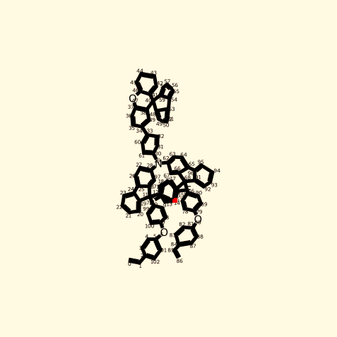 C=Cc1ccc(Oc2ccc(C3(c4ccc(F)cc4)c4ccccc4-c4ccc(N(c5ccc(-c6ccc7c(c6)C6(c8ccccc8O7)c7ccccc7-c7ccccc76)cc5)c5ccc6c(c5)C(c5ccc(F)cc5)(c5ccc(Oc7ccc(C=C)cc7)cc5)c5ccccc5-6)cc43)cc2)cc1